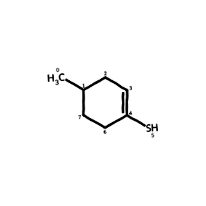 CC1CC=C(S)CC1